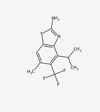 Cc1cc2sc(N)nc2c(C(C)C)c1C(F)(F)F